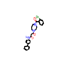 O=C(CC(=O)N1CCCN(C(=O)c2ccccc2Br)CC1)Nc1ccc(-c2ccccc2)cc1